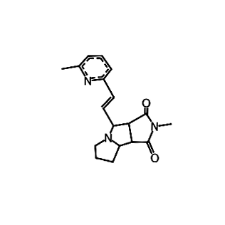 Cc1cccc(/C=C/C2C3C(=O)N(C)C(=O)C3C3CCCN23)n1